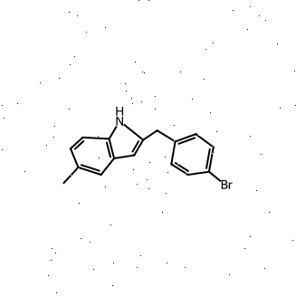 Cc1ccc2[nH]c(Cc3ccc(Br)cc3)cc2c1